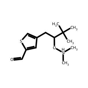 C[SiH](C)OC(Cc1csc(C=O)c1)C(C)(C)C